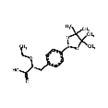 CCO[C@@H](Cc1ccc(B2OC(C)(C)C(C)(C)O2)cc1)C(=O)O